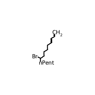 C=CC=CCCCCC(Br)CCCCC